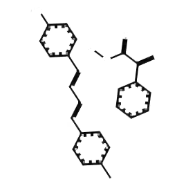 C=C(C(=O)OC(C)C)c1ccccc1.Cc1ccc(C=CC=Cc2ccc(O)cc2)cc1